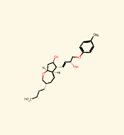 COc1ccc(OC[C@H](O)C=C[C@@H]2[C@H]3CC[C@H](CCCC(=O)O)CO[C@H]3C[C@H]2O)cc1